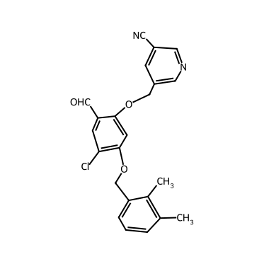 Cc1cccc(COc2cc(OCc3cncc(C#N)c3)c(C=O)cc2Cl)c1C